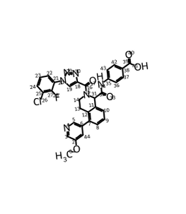 COc1cncc(-c2cccc3c2CCN(C(=O)c2cn(-c4cccc(Cl)c4F)nn2)C3C(=O)Nc2ccc(C(=O)O)cc2)c1